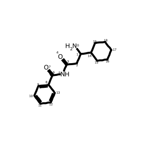 NC(CC(=O)NC(=O)c1ccccc1)C1CCCCC1